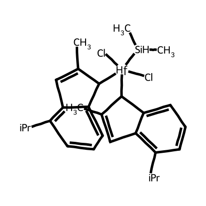 CC1=Cc2c(C(C)C)cccc2[CH]1[Hf]([Cl])([Cl])([CH]1C(C)=Cc2c(C(C)C)cccc21)[SiH](C)C